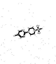 CS(=O)(=O)N1CCN(c2ncc(I)cn2)CC1